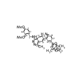 COc1ccc(CNc2nnc(C)c3cc(-c4cc(B5OC(C)(C)C(C)(C)O5)ccc4N)ccc23)c(OC)c1